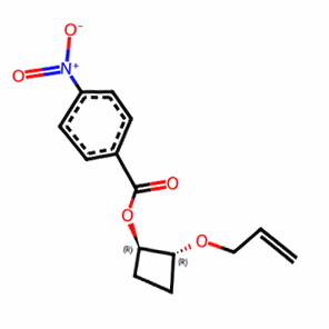 C=CCO[C@@H]1CC[C@H]1OC(=O)c1ccc([N+](=O)[O-])cc1